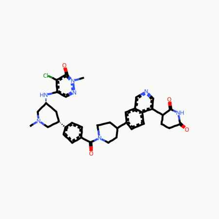 CN1C[C@H](Nc2cnn(C)c(=O)c2Cl)C[C@H](c2ccc(C(=O)N3CCC(c4ccc5c(C6CCC(=O)NC6=O)cncc5c4)CC3)cc2)C1